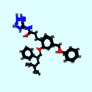 CC(C)CC(COc1cc(COc2ccccc2)ccc1CCC(=O)Nc1nnn[nH]1)c1ccccc1